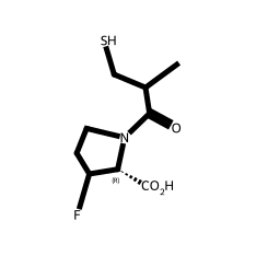 CC(CS)C(=O)N1CCC(F)[C@H]1C(=O)O